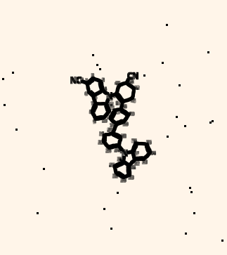 N#Cc1ccc2c(c1)c1ccccc1n2C1=C(c2ccc(-c3cccc(-n4c5ccccc5c5ccccc54)c3)cc2)CCC(C#N)C1